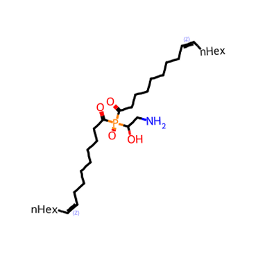 CCCCCC/C=C\CCCCCCCC(=O)P(=O)(C(=O)CCCCCCC/C=C\CCCCCC)C(O)CN